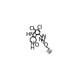 C[Si](C)(C)CCOCn1cnc(-c2cc(Cl)c(Cl)c3[nH]c4c(c23)CC(=O)NCC4)n1